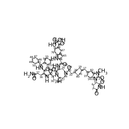 Cn1c(=O)n(C2CCC(=O)NC2=O)c2ccc(CC3CCC(CC(=O)N4CC[C@H]5CC[C@@H](C(=O)N[C@@H](CCC(N)=O)C(=O)NC(c6ccccc6)c6ccccc6)N5C(=O)[C@@H](NC(=O)c5cc6cc(C(=O)P(=O)(O)O)ccc6[nH]5)C4)CC3)cc21